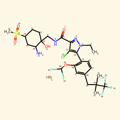 Br.CCn1nc(C(=O)NCC2(O)CCC(S(C)(=O)=O)CC2N)c(Cl)c1-c1ccc(CC(C)(C)C(F)(F)F)cc1OC(F)F